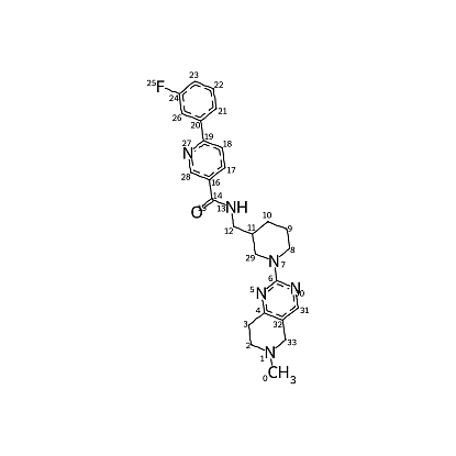 CN1CCc2nc(N3CCCC(CNC(=O)c4ccc(-c5cccc(F)c5)nc4)C3)ncc2C1